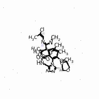 C=N/C(=N\C=C(/C)Cl)[C@H](OC(C)C)[C@H](C)S(=O)(=O)Nc1nnc([C@H]2COCCO2)n1-c1c(OC)cccc1OC